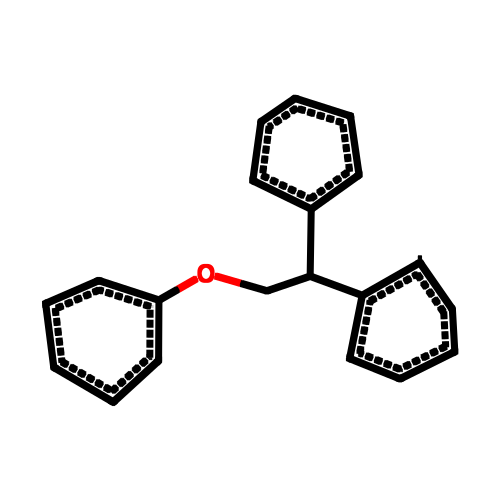 [c]1ccccc1C(COc1ccccc1)c1ccccc1